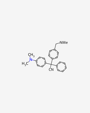 CNCc1ccc(C(C#N)(c2ccccc2)c2ccc(N(C)C)cc2)cc1